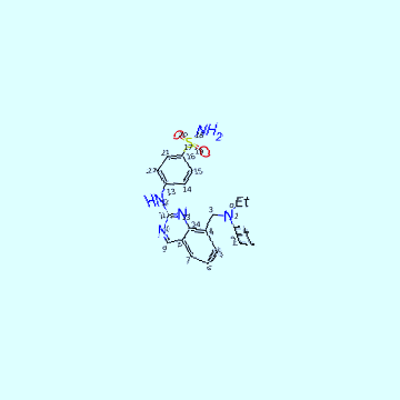 CCN(CC)Cc1cccc2cnc(Nc3ccc(S(N)(=O)=O)cc3)nc12